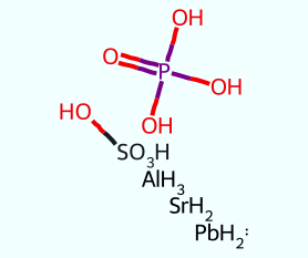 O=P(O)(O)O.O=S(=O)(O)O.[AlH3].[PbH2].[SrH2]